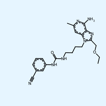 CCOCc1nc2c(N)nc(C)cc2n1CCCCNC(=O)Nc1cccc(C#N)c1